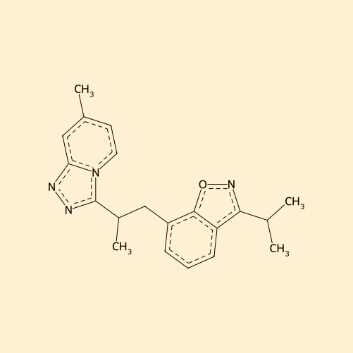 Cc1ccn2c(C(C)Cc3cccc4c(C(C)C)noc34)nnc2c1